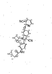 C[C@@H](OC(=O)Nc1ccc(-c2c(C#N)c3ccc(Oc4ncccc4C#N)cc3n2C2CCC2)c(Cl)c1)C1CC1